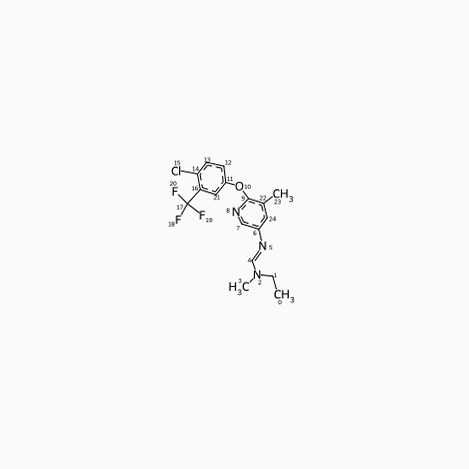 CCN(C)C=Nc1cnc(Oc2ccc(Cl)c(C(F)(F)F)c2)c(C)c1